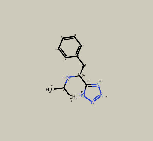 CC(C)N[C@@H](Cc1ccccc1)c1nnn[nH]1